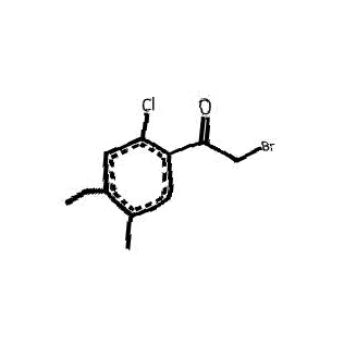 Cc1cc(Cl)c(C(=O)CBr)cc1C